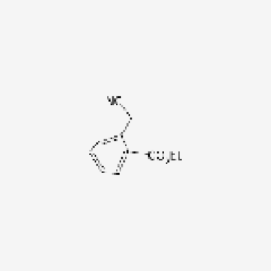 CCOC(=O)c1ccccc1CC#N